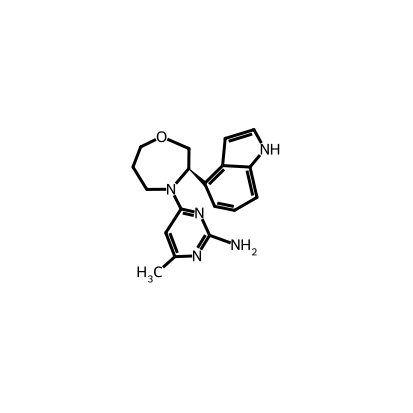 Cc1cc(N2CCCOC[C@H]2c2cccc3[nH]ccc23)nc(N)n1